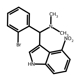 CN(C)C(c1ccccc1Br)c1c[nH]c2cccc([N+](=O)[O-])c12